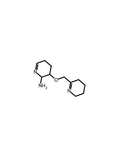 NC1N=CCCC1OCC1=NCCCC1